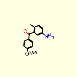 COc1ccc(C(=O)c2cc(N)ccc2C)cc1